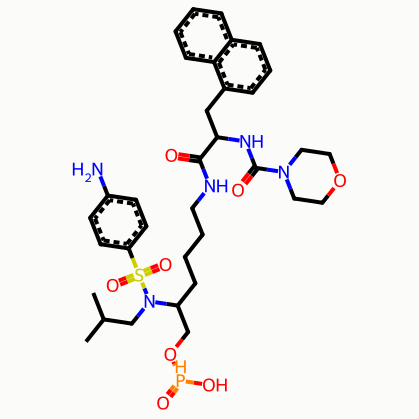 CC(C)CN(C(CCCCNC(=O)C(Cc1cccc2ccccc12)NC(=O)N1CCOCC1)CO[PH](=O)O)S(=O)(=O)c1ccc(N)cc1